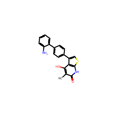 N#Cc1c(O)c2c(-c3ccc(-c4ccccc4N)cc3)csc2[nH]c1=O